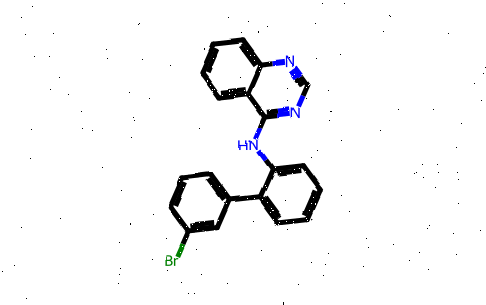 Brc1cccc(-c2c[c]ccc2Nc2ncnc3ccccc23)c1